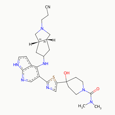 CN(C)C(=O)N1CCC(O)(c2cnc(-c3cnc4[nH]ccc4c3NC3C[C@@H]4CN(CCC#N)C[C@@H]4C3)s2)CC1